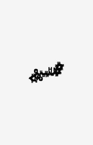 O=C1C2CCCCN2C(=O)N1CCCCNCc1ccc2ccccc2n1